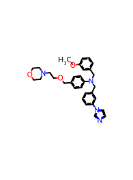 COc1cccc(CN(Cc2cccc(-n3ccnc3)c2)c2ccc(COCCN3CCOCC3)cc2)c1